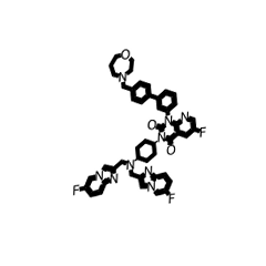 O=c1c2cc(F)cnc2n(-c2cccc(-c3ccc(CN4CCCOCC4)cc3)c2)c(=O)n1[C@H]1CC[C@@H](N(Cc2cn3cc(F)ccc3n2)Cc2cn3cc(F)ccc3n2)CC1